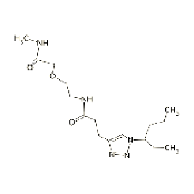 CCCC(CC)n1cc(CCC(=O)NCCOCC(=O)NC)nn1